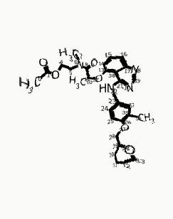 CC(=O)OCCN(C)C(=O)[C@@H](C)Oc1cccc2ncnc(Nc3ccc(OCC4CCCCO4)c(C)c3)c12